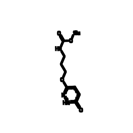 CC(C)(C)OC(=O)NCCCOc1ccc(=O)[nH]n1